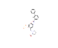 Cc1c(-c2ccccc2)cccc1-c1nc2cc(CN3CCC[C@H]3C(=O)O)c(OS(C)(=O)=O)cc2o1